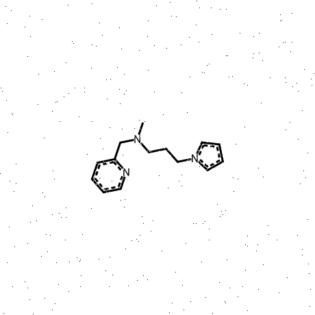 CN(CCCn1cccc1)Cc1ccccn1